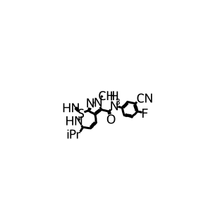 CC(C)C1C=Cc2c(nn(C)c2C(=O)Nc2ccc(F)c(C#N)c2)S(=N)N1